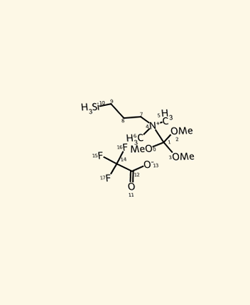 COC(OC)(OC)[N+](C)(C)CCC[SiH3].O=C([O-])C(F)(F)F